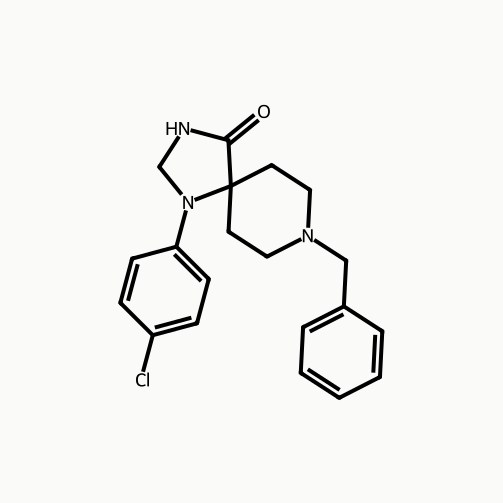 O=C1NCN(c2ccc(Cl)cc2)C12CCN(Cc1ccccc1)CC2